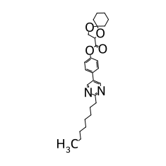 CCCCCCCCc1ncc(-c2ccc(OC(=O)C3COC4(CCCCC4)O3)cc2)cn1